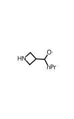 CCCC([O])C1CNC1